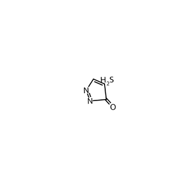 O=C1C=CN=N1.S